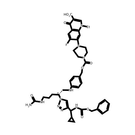 CCn1cc(C(=O)O)c(=O)c2cc(F)c(N3CCN(C(=O)OCc4ccc(NC[C@@H](CCCNC(N)=O)n5cc(C(NC(=O)OCc6ccccc6)C6CC6)nn5)cc4)CC3)cc21